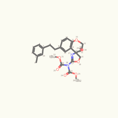 Cc1cccc(CCc2ccc3c(c2)C2(COC(N(C(=O)OC(C)(C)C)C(=O)OC(C)(C)C)=N2)C2(COC2)CO3)c1